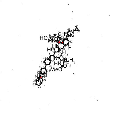 COC(=O)NC(C(=O)NC(Cc1ccc(-c2ccc(N3CC4CCC(C3)N4C3COC3)nc2)cc1)C(O)CN(Cc1c(F)cc(-c2ccn(C3CC3)n2)cc1F)NC(=O)C(NC(=O)O)C(C)(C)C(F)(F)F)C(C)(C)C(F)(F)F